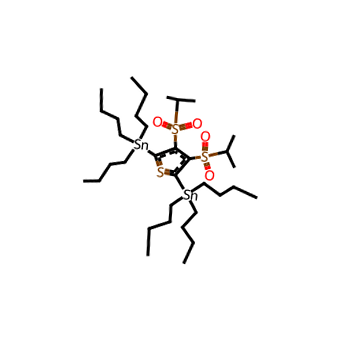 CCC[CH2][Sn]([CH2]CCC)([CH2]CCC)[c]1s[c]([Sn]([CH2]CCC)([CH2]CCC)[CH2]CCC)c(S(=O)(=O)C(C)C)c1S(=O)(=O)C(C)C